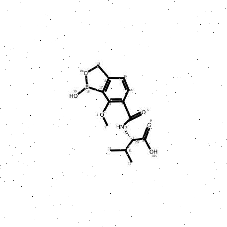 COc1c(C(=O)N[C@H](C(=O)O)C(C)C)ccc2c1B(O)OC2